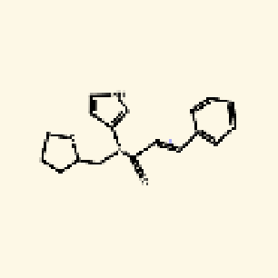 O=C(/C=C/c1ccccc1)N(CC1CCCS1)c1cc[nH]n1